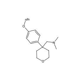 [CH2]CCOc1ccc(C2(CN(C)C)CCOCC2)cc1